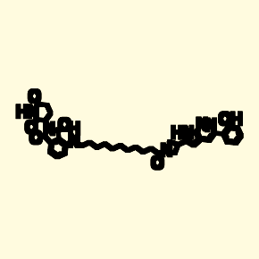 O=C1CCC(N2C(=O)c3cccc(NCCCCCCCCCCC(=O)N4CC(c5cc6cc(-c7ccccc7O)nnc6[nH]5)C4)c3C2=O)C(=O)N1